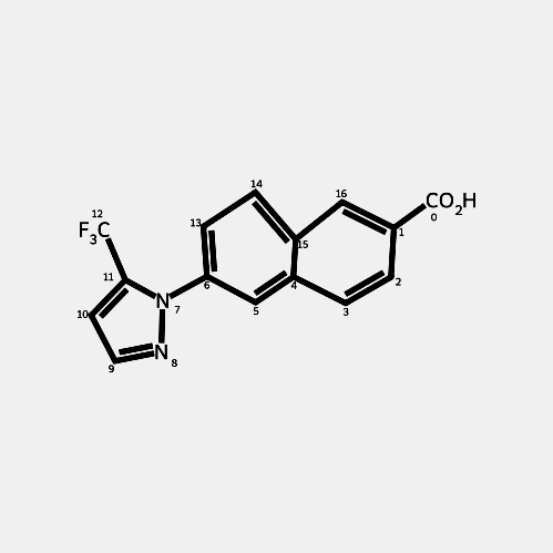 O=C(O)c1ccc2cc(-n3nccc3C(F)(F)F)ccc2c1